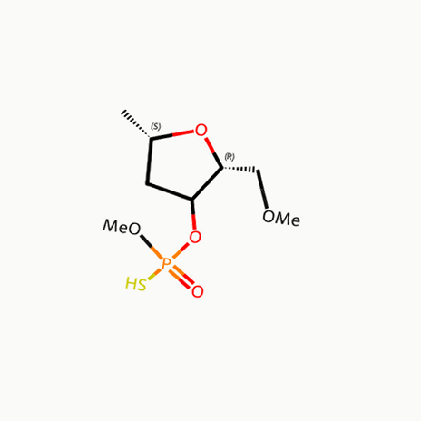 COC[C@H]1O[C@@H](C)CC1OP(=O)(S)OC